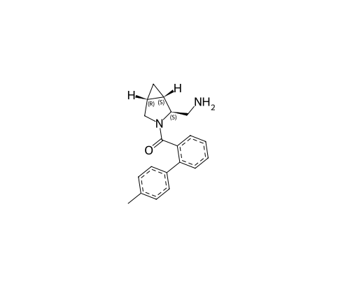 Cc1ccc(-c2ccccc2C(=O)N2C[C@@H]3C[C@@H]3[C@H]2CN)cc1